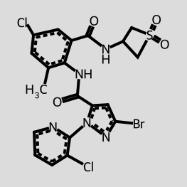 Cc1cc(Cl)cc(C(=O)NC2CS(=O)(=O)C2)c1NC(=O)c1cc(Br)nn1-c1ncccc1Cl